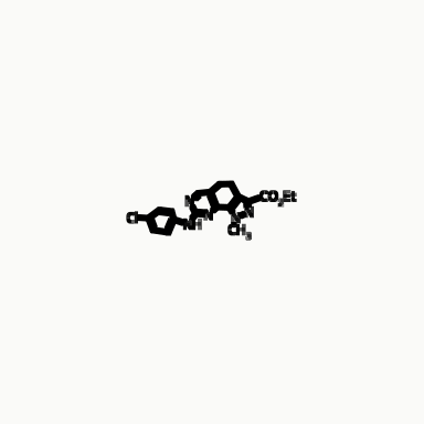 CCOC(=O)c1nn(C)c2c1CCc1cnc(Nc3ccc(Cl)cc3)nc1-2